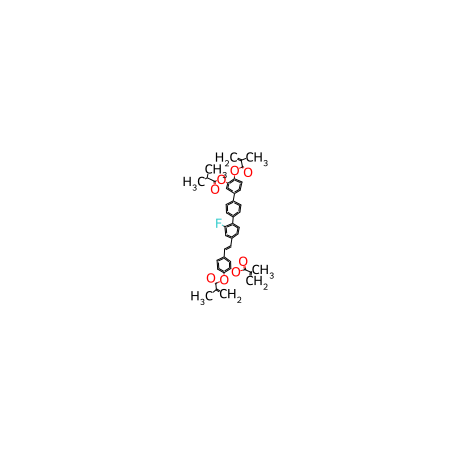 C=C(C)C(=O)Oc1ccc(/C=C/c2ccc(-c3ccc(-c4ccc(OC(=O)C(=C)C)c(OC(=O)C(C)C)c4)cc3)c(F)c2)cc1OC(=O)C(=C)C